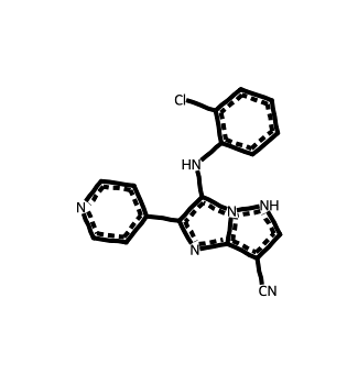 N#Cc1c[nH]n2c(Nc3ccccc3Cl)c(-c3ccncc3)nc12